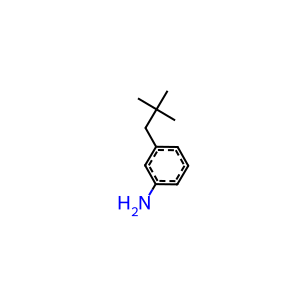 CC(C)(C)Cc1cccc(N)c1